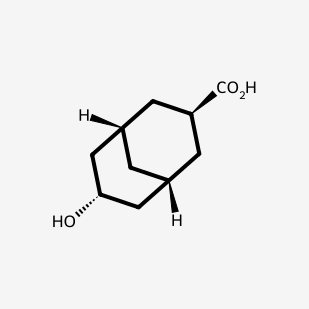 O=C(O)[C@H]1C[C@@H]2C[C@H](O)C[C@@H](C2)C1